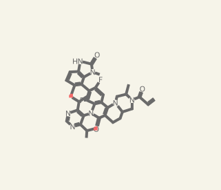 C=CC(=O)N1CC2CCc3c(c4cc(F)c(-c5c(C)ccc6[nH]c(=O)n(C)c56)c(F)c4n(-c4c(C(C)C)ncnc4C(C)C)c3=O)N2CC1C